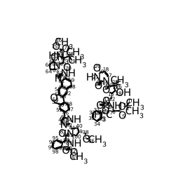 CC(C)OC(=O)[C@H](C)N[P@@](=O)(OC[C@H]1O[C@@H](n2ccc(=O)[nH]c2=O)[C@](C)(F)[C@@H]1O)Oc1ccccc1.COC[C@H]1C[C@@H](c2ncc(-c3ccc4c(c3)COc3cc5c(ccc6[nH]c([C@@H]7CC[C@H](C)N7C(=O)[C@@H](NC(=O)OC)C(C)C)nc65)cc3-4)[nH]2)N(C(=O)[C@H](NC(=O)OC)c2ccccc2)C1